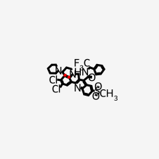 CS(=O)(=O)c1ccc2nc(-c3ccc(Cl)c(Cl)c3)c(CN3CCC(N4CCCCC4)CC3)c(C(=O)N[C@H](c3ccccc3)C(F)(F)F)c2c1